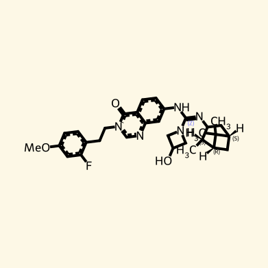 COc1ccc(CCn2cnc3cc(N/C(=N/C4C[C@@H]5C[C@H]([C@@H]4C)C5(C)C)N4CC(O)C4)ccc3c2=O)c(F)c1